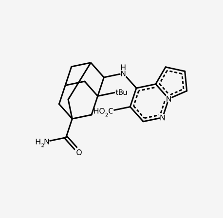 CC(C)(C)C12CC3CC(CC(C(N)=O)(C3)C1)C2Nc1c(C(=O)O)cnn2cccc12